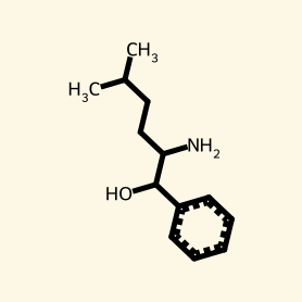 CC(C)CCC(N)C(O)c1ccccc1